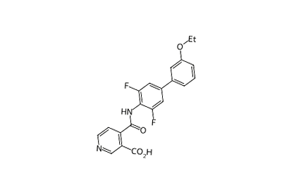 CCOc1cccc(-c2cc(F)c(NC(=O)c3ccncc3C(=O)O)c(F)c2)c1